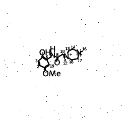 COc1ccc(O)c(NC(=O)C[N+]2(C)CCN(C)CC2)c1